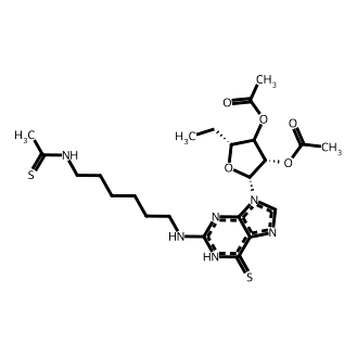 CC[C@H]1O[C@@H](n2cnc3c(=S)[nH]c(NCCCCCCNC(C)=S)nc32)[C@@H](OC(C)=O)C1OC(C)=O